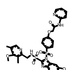 COc1ccc2nc(S(=O)(=O)NCc3ncc(C)c(OC)c3C)n(S(=O)(=O)c3ccc(OCC(=O)Nc4ccccn4)cc3)c2c1